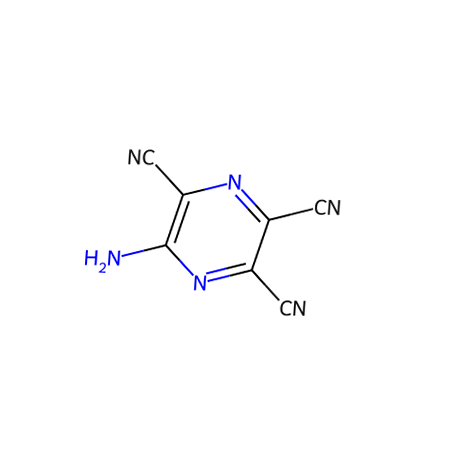 N#Cc1nc(C#N)c(C#N)nc1N